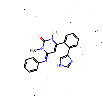 Cn1c(-c2ccccc2-c2c[nH]cn2)c/c(=N/c2ccccc2)n(C)c1=O